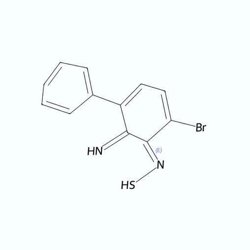 N=C1C(c2ccccc2)=CC=C(Br)/C1=N/S